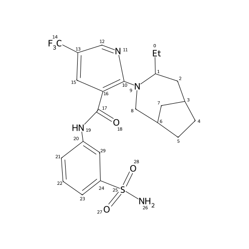 CCC1CC2CCC(C2)CN1c1ncc(C(F)(F)F)cc1C(=O)Nc1cccc(S(N)(=O)=O)c1